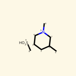 CC1CCCN(C)C1.CS(=O)(=O)O